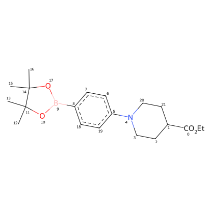 CCOC(=O)C1CCN(c2ccc(B3OC(C)(C)C(C)(C)O3)cc2)CC1